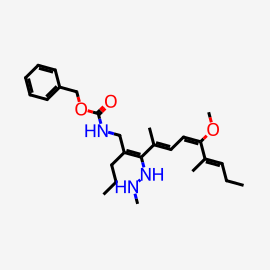 CC/C=C(C)/C(=C\C=C(C)\C(NNC)=C(\CCC)CNC(=O)OCc1ccccc1)OC